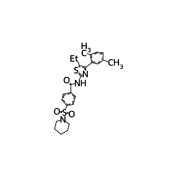 CCc1sc(NC(=O)c2ccc(S(=O)(=O)N3CCCCC3)cc2)nc1-c1cc(C)ccc1C